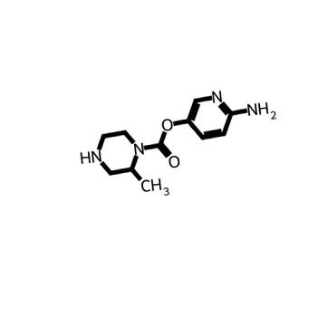 CC1CNCCN1C(=O)Oc1ccc(N)nc1